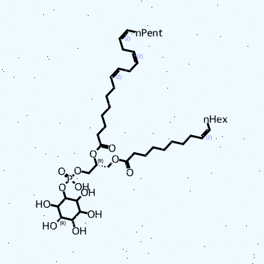 CCCCC/C=C\C/C=C\C/C=C\CCCCCCC(=O)O[C@H](COC(=O)CCCCCCC/C=C\CCCCCC)COP(=O)(O)OC1C(O)C(O)C(O)[C@@H](O)C1O